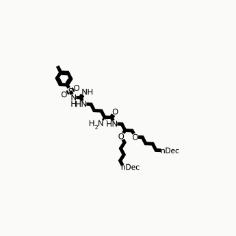 CCCCCCCCCCCCCCOCC(CNC(=O)[C@@H](N)CCCNC(=N)NS(=O)(=O)c1ccc(C)cc1)OCCCCCCCCCCCCCC